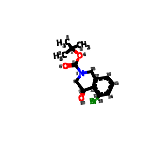 CC(C)(C)OC(=O)N1CC(=O)c2c(Br)cccc2C1